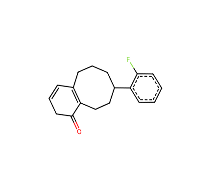 O=C1CC=CC2=C1CCC(c1ccccc1F)CCC2